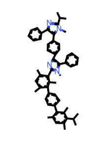 Cc1cc(C)c(-c2nc(-c3ccc(-c4c(-c5ccccc5)nc(C(C)C)n4C)cc3)c(-c3ccccc3)n2C)c(C)c1-c1ccc(-c2c(C)cc(C)c(C(C)C)c2C)cc1